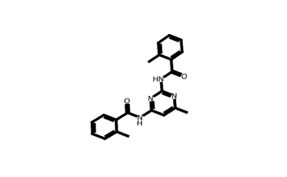 Cc1cc(NC(=O)c2ccccc2C)nc(NC(=O)c2ccccc2C)n1